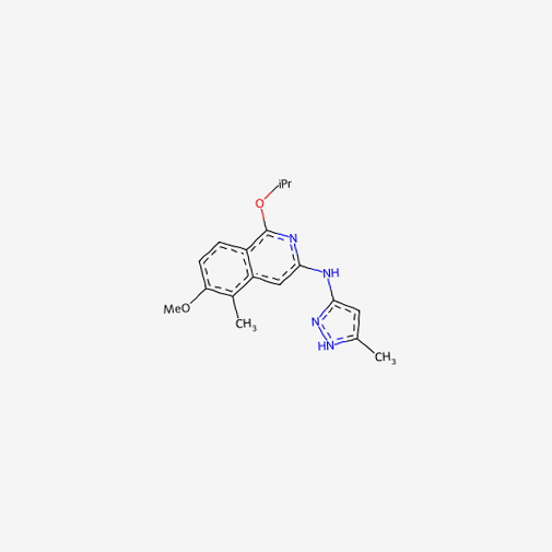 COc1ccc2c(OC(C)C)nc(Nc3cc(C)[nH]n3)cc2c1C